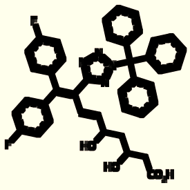 O=C(O)CC(O)CC(O)/C=C/C(=C(c1ccc(F)cc1)c1ccc(F)cc1)c1nnn(C(c2ccccc2)(c2ccccc2)c2ccccc2)n1